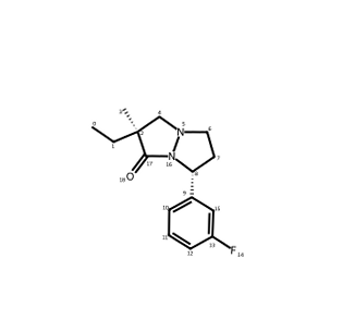 CC[C@@]1(C)CN2CC[C@H](c3cccc(F)c3)N2C1=O